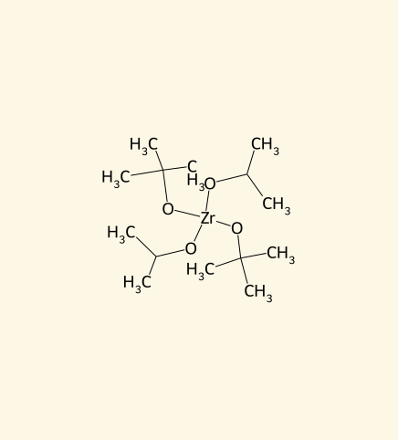 CC(C)[O][Zr]([O]C(C)C)([O]C(C)(C)C)[O]C(C)(C)C